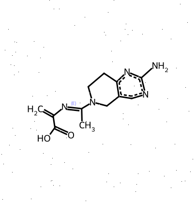 C=C(/N=C(\C)N1CCc2nc(N)ncc2C1)C(=O)O